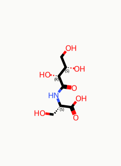 O=C(O)[C@H](CO)NC(=O)[C@H](O)[C@@H](O)CO